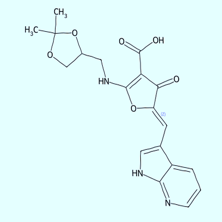 CC1(C)OCC(CNC2=C(C(=O)O)C(=O)/C(=C/c3c[nH]c4ncccc34)O2)O1